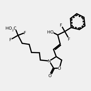 O=C1OCC(C=CC(O)C(F)(F)c2ccccc2)N1CCCCCC(F)(F)C(=O)O